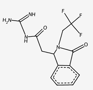 N=C(N)NC(=O)CC1c2ccccc2C(=O)N1CC(F)(F)F